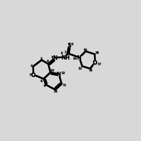 S=C(N/N=C1/CCOc2cccnc21)N1CCOCC1